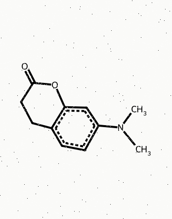 CN(C)c1ccc2c(c1)OC(=O)CC2